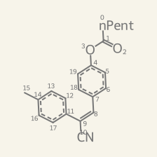 CCCCCC(=O)Oc1ccc(C=C(C#N)c2ccc(C)cc2)cc1